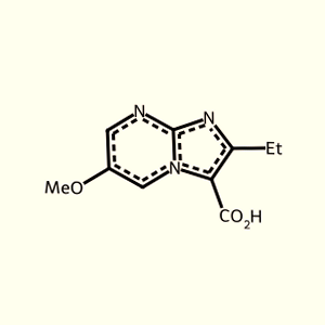 CCc1nc2ncc(OC)cn2c1C(=O)O